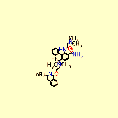 CCCCc1cc2ccccc2c(OCC[N+](C)(C)[C@@H](CC)c2ccc(C(N)=O)c(NC(=O)CN(C)C)c2-c2ccccc2)n1